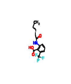 CCCCC(=O)Nc1cccc(C(F)(F)F)c1C(=O)O